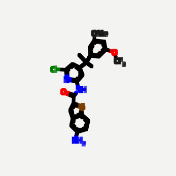 COc1cc(OC(F)(F)F)cc(C(C)(C)c2cc(Cl)nc(NC(=O)c3cc4cc(N)ccc4s3)c2)c1